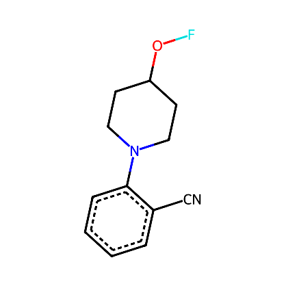 N#Cc1ccccc1N1CCC(OF)CC1